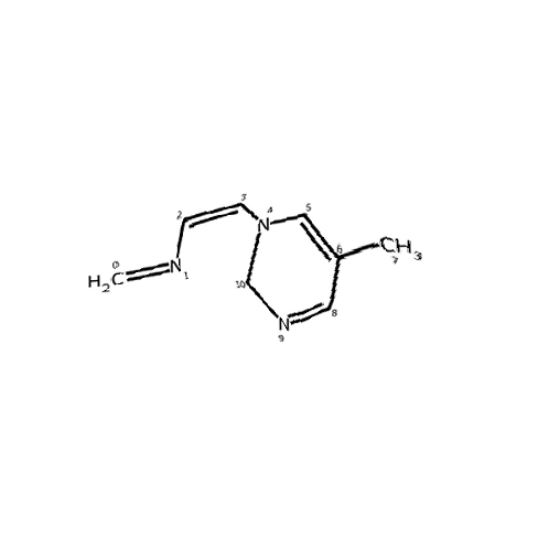 C=N/C=C\N1C=C(C)C=NC1